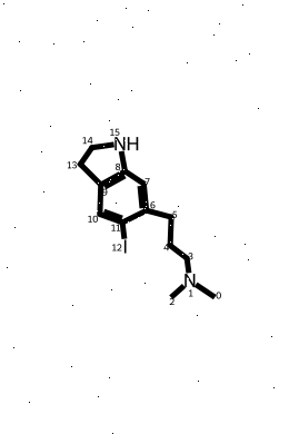 CN(C)CCCc1cc2c(cc1I)CCN2